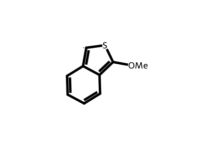 COc1s[c]c2ccccc12